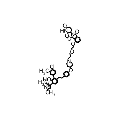 Cc1cc(-c2ccc(CCc3ccc(OC4CCN(CCCOCCOc5cccc6c5C(=O)N(C5CCC(=O)NC5=O)C6=O)CC4)cc3)c(-c3ccc(Cl)c(C)c3)c2O)n(C)n1